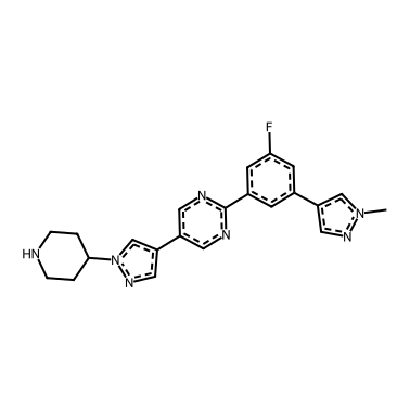 Cn1cc(-c2cc(F)cc(-c3ncc(-c4cnn(C5CCNCC5)c4)cn3)c2)cn1